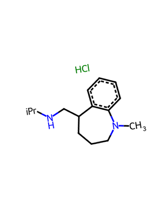 CC(C)NCC1CCCN(C)c2ccccc21.Cl